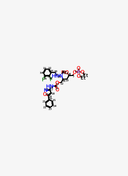 CCOP(=O)(OCC)OC[C@H](O)C[C@@H](COC(=O)Nc1cc(-c2ccccc2)on1)N(NCc1cccc(F)c1F)C(C)=O